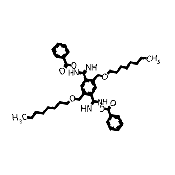 CCCCCCCCOCc1cc(C(=N)NOC(=O)c2ccccc2)c(COCCCCCCCC)cc1C(=N)NOC(=O)c1ccccc1